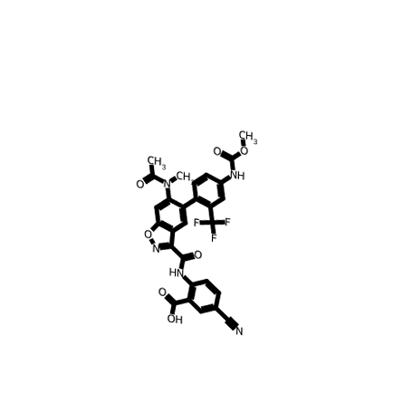 COC(=O)Nc1ccc(-c2cc3c(C(=O)Nc4ccc(C#N)cc4C(=O)O)noc3cc2N(C)C(C)=O)c(C(F)(F)F)c1